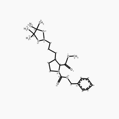 COC(=O)C1C(CCCB2OC(C)(C)C(C)(C)O2)CCN1C(=O)OCc1ccccc1